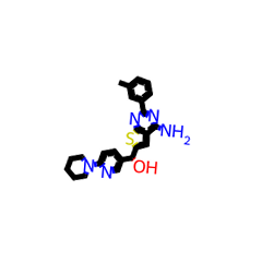 Cc1cccc(-c2nc(N)c3cc(C(O)c4ccc(N5CCCCC5)nc4)sc3n2)c1